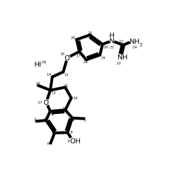 Cc1c(C)c2c(c(C)c1O)CCC(C)(CCOc1ccc(NC(=N)N)cc1)O2.I